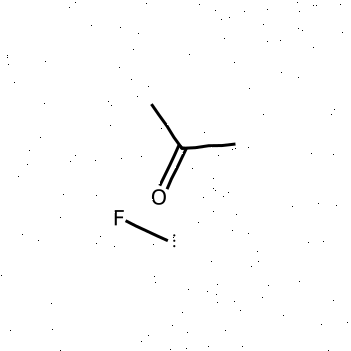 CC(C)=O.[C]F